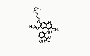 COCCCOc1cc2ncc(C)c(Nc3cccc(O)c3C(=O)O)c2cc1OC